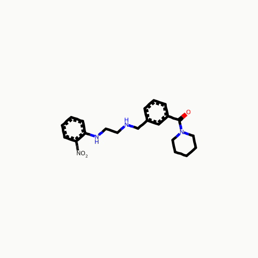 O=C(c1cccc(CNCCNc2ccccc2[N+](=O)[O-])c1)N1CCCCC1